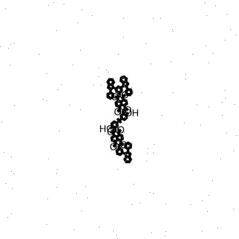 CC(C)(c1ccc(O)c(N2C(=O)c3ccc4c5c(ccc(c35)C2=O)C(=O)N(c2cccc(C3C(c5ccccc5)=Cc5ccccc53)c2)C4=O)c1)c1ccc(O)c(N2C(=O)c3ccc4c5c(ccc(c35)C2=O)C(=O)N(c2cc(C3C(c5ccccc5)=Cc5ccccc53)cc(C3C(c5ccccc5)=Cc5ccccc53)c2)C4=O)c1